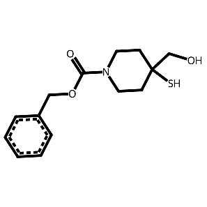 O=C(OCc1ccccc1)N1CCC(S)(CO)CC1